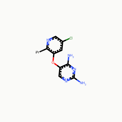 CC(C)c1ncc(Cl)cc1Oc1cnc(N)nc1N